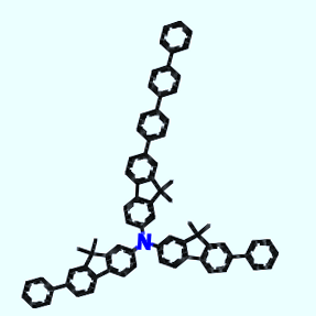 CC1(C)c2cc(-c3ccccc3)ccc2-c2ccc(N(c3ccc4c(c3)C(C)(C)c3cc(-c5ccccc5)ccc3-4)c3ccc4c(c3)C(C)(C)c3cc(-c5ccc(-c6ccc(-c7ccccc7)cc6)cc5)ccc3-4)cc21